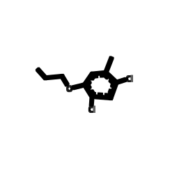 CCCOc1cc(C)c(Cl)cc1Cl